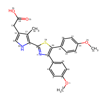 COc1ccc(-c2nc(-c3[nH]cc(CC(=O)O)c3C)sc2-c2ccc(OC)cc2)cc1